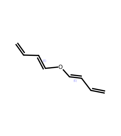 C=C/C=C/O/C=C/C=C